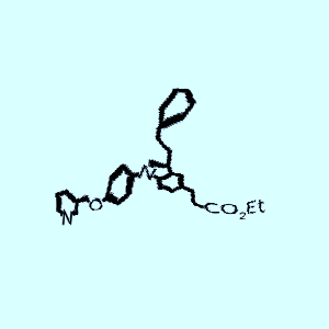 CCOC(=O)CCc1ccc2c(c1)c(CCc1ccccc1)cn2-c1ccc(OCc2cccnc2)cc1